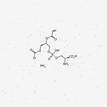 CCCC(=O)O[C@H](COC(=O)CC)COP(=O)(O)OC[C@H](N)C(=O)O.P